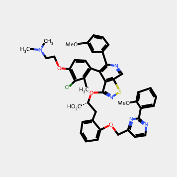 COc1cccc(-c2ncc3snc(O[C@H](Cc4ccccc4OCc4ccnc(-c5ccccc5OC)n4)C(=O)O)c3c2-c2ccc(OCCN(C)C)c(Cl)c2C)c1